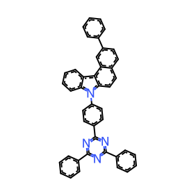 c1ccc(-c2ccc3ccc4c(c3c2)c2ccccc2n4-c2ccc(-c3nc(-c4ccccc4)nc(-c4ccccc4)n3)cc2)cc1